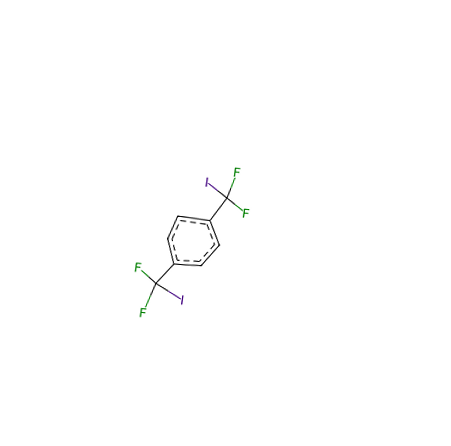 FC(F)(I)c1ccc(C(F)(F)I)cc1